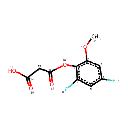 COc1cc(F)cc(F)c1OC(=O)CC(=O)O